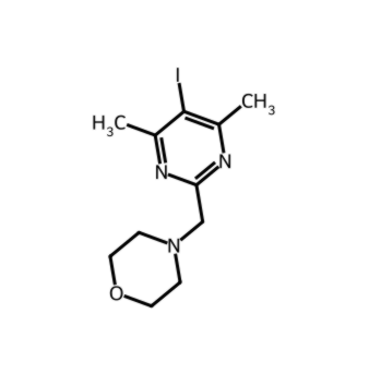 Cc1nc(CN2CCOCC2)nc(C)c1I